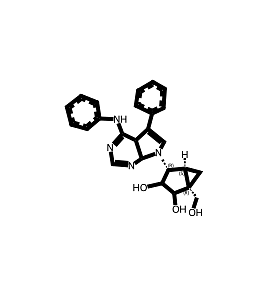 OC[C@@]12C[C@@H]1[C@@H](N1C=C(c3ccccc3)C3C(Nc4ccccc4)=NC=NC31)C(O)C2O